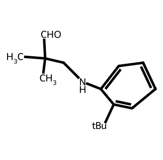 CC(C)(C=O)CNc1ccccc1C(C)(C)C